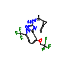 C=C1CC1[C@H](C)Nc1nc2c(OCC(F)(F)F)ccc(C(F)(F)F)n2n1